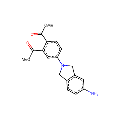 COC(=O)c1ccc(N2Cc3ccc(N)cc3C2)cc1C(=O)OC